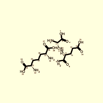 C[C@H](N)C(=O)O.NC(=O)[C@H](N)CCC(=O)O.N[C@H](CCC[C@H](N)C(=O)O)C(=O)O